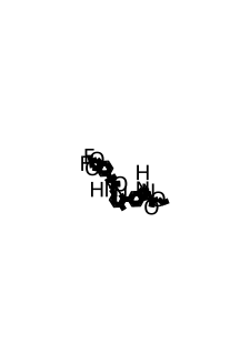 CCOC(=O)c1n[nH]c2cc(-c3nc(NC(=O)C(C)(C)c4ccc5c(c4)OC(F)(F)O5)ccc3C)ccc12